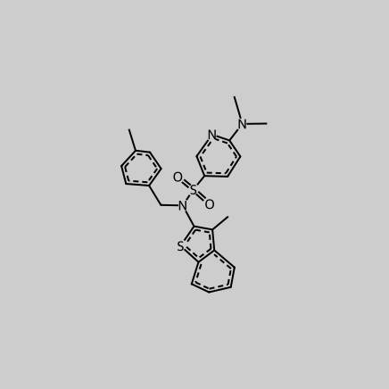 Cc1ccc(CN(c2sc3ccccc3c2C)S(=O)(=O)c2ccc(N(C)C)nc2)cc1